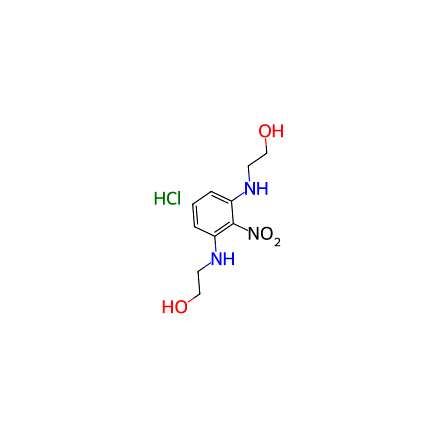 Cl.O=[N+]([O-])c1c(NCCO)cccc1NCCO